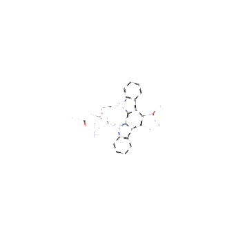 COC(=O)C[C@@]1(N)CC2OC1(C)n1c3ccccc3c3c4c(c5c6ccccc6n2c5c31)C(=O)NC4